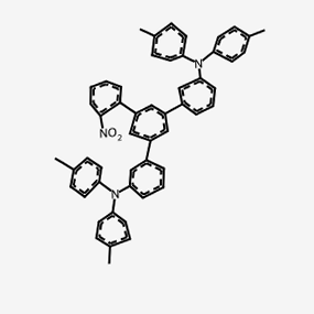 Cc1ccc(N(c2ccc(C)cc2)c2cccc(-c3cc(-c4cccc(N(c5ccc(C)cc5)c5ccc(C)cc5)c4)cc(-c4ccccc4[N+](=O)[O-])c3)c2)cc1